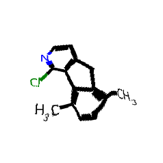 Cc1ccc(C)c2c1Cc1ccnc(Cl)c1-2